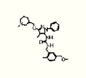 COCc1ccc(C)c(CNC(=O)Nc2c(C)c(OCC3CCCN(C)C3)nn2-c2ccccc2)c1